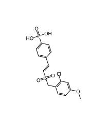 COc1ccc(CS(=O)(=O)C=Cc2ccc(P(=O)(O)O)cc2)c(Cl)c1